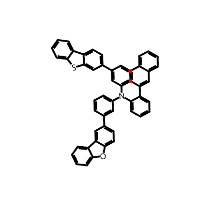 c1cc(-c2ccc3c(c2)sc2ccccc23)cc(N(c2cccc(-c3ccc4oc5ccccc5c4c3)c2)c2ccccc2-c2ccc3ccccc3c2)c1